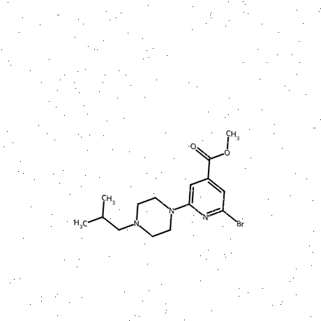 COC(=O)c1cc(Br)nc(N2CCN(C[C](C)C)CC2)c1